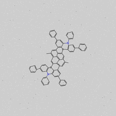 Cc1cc2c3c(cc4c(C)cc5c6c(cc1c3c46)B1c3ccc(-c4ccccc4)cc3N(c3ccccc3)c3cc(-c4ccccc4)cc-5c31)B1c3ccc(-c4ccccc4)cc3N(c3ccccc3)c3cc(-c4ccccc4)cc-2c31